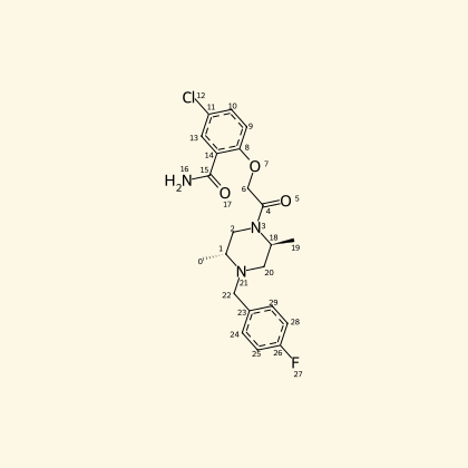 C[C@@H]1CN(C(=O)COc2ccc(Cl)cc2C(N)=O)[C@@H](C)CN1Cc1ccc(F)cc1